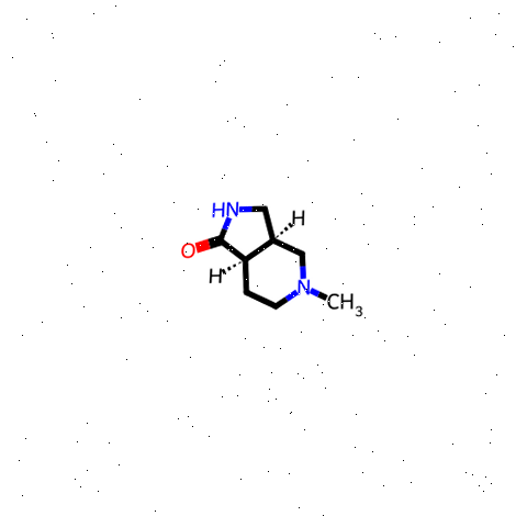 CN1CC[C@H]2C(=O)NC[C@H]2C1